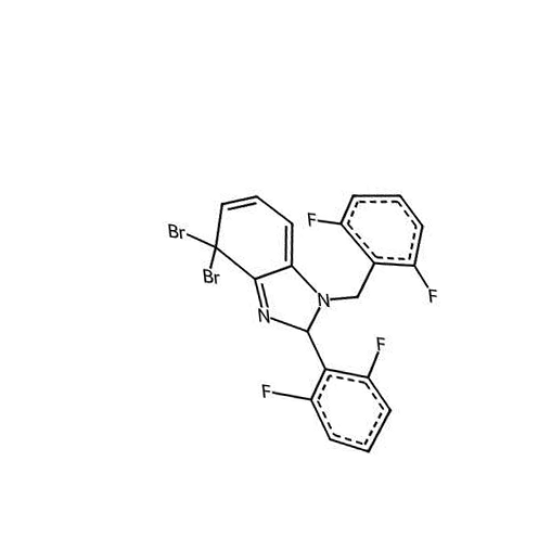 Fc1cccc(F)c1CN1C2=CC=CC(Br)(Br)C2=NC1c1c(F)cccc1F